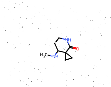 CNC1CCNC(=O)C12CC2